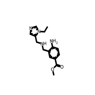 CCn1cncc1CNCc1cc(C(=O)OC)ccc1N